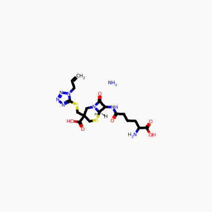 C=CCn1nnnc1SCC1(C(=O)O)CS[C@@H]2C(NC(=O)CCCC(N)C(=O)O)C(=O)N2C1.N